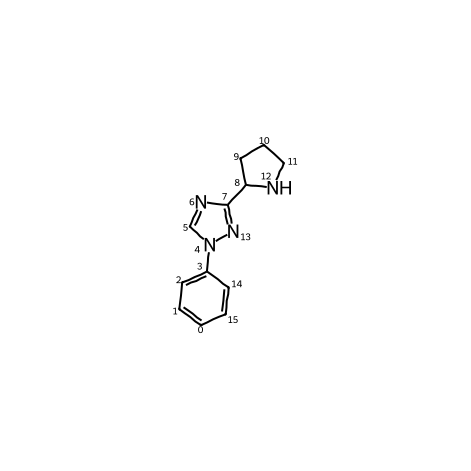 c1ccc(-n2cnc(C3CCCN3)n2)cc1